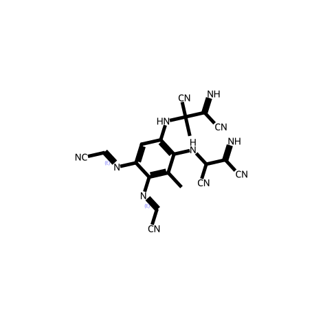 Cc1c(/N=C/C#N)c(/N=C/C#N)cc(NC(C)(C#N)C(=N)C#N)c1NC(C#N)C(=N)C#N